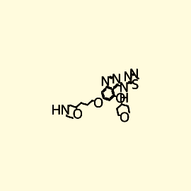 c1nc(Nc2nncs2)c2c(OC3CCOCC3)cc(OCCCC3CNCCO3)cc2n1